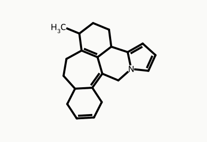 CC1CCC2C3=C1CCC1CC=CCC1=C3Cn1cccc12